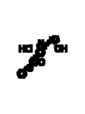 Cl.O=c1cc(OCc2ccccc2)ccn1-c1ccc2c(cnn2CCN2CCC[C@@H]2CO)c1